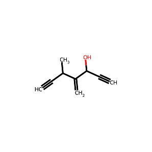 C#CC(C)C(=C)C(O)C#C